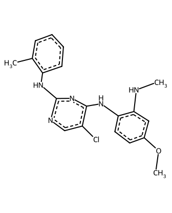 CNc1cc(OC)ccc1Nc1nc(Nc2ccccc2C)ncc1Cl